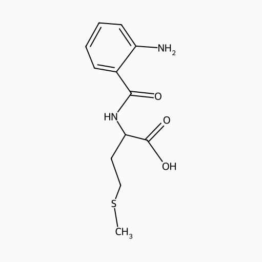 CSCCC(NC(=O)c1ccccc1N)C(=O)O